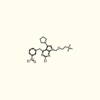 C[Si](C)(C)CCOCn1cc(N2CCCC2)c2c(Cc3cccc([N+](=O)[O-])c3)nc(Cl)nc21